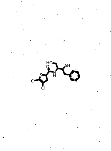 O=C(NC(CO)C(S)Cc1ccccc1)C1CC(Cl)=C(Cl)S1